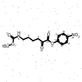 CC(C)(C)OC(=O)NCCCCC(=O)C(=O)Oc1ccc([N+](=O)[O-])cc1